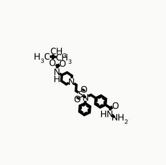 CC(C)(C)OC(=O)NC1CCN(CCS(=O)(=O)N(Cc2ccc(C(=O)NN)cc2)c2ccccc2)CC1